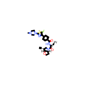 C#C[C@@H]1CN(C(=O)[C@H](CC(C)C)NC(=O)c2ccc(-c3nc(N4CCN(C)CC4)sc3F)cc2)[C@@H]2CCO[C@H]12